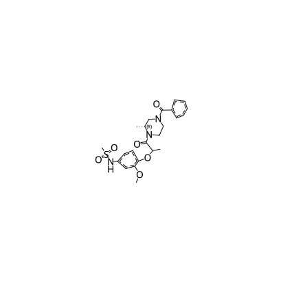 COc1cc(NS(C)(=O)=O)ccc1OC(C)C(=O)N1CCN(C(=O)c2ccccc2)C[C@H]1C